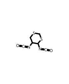 O=C=NC1CSCSC1N=C=O